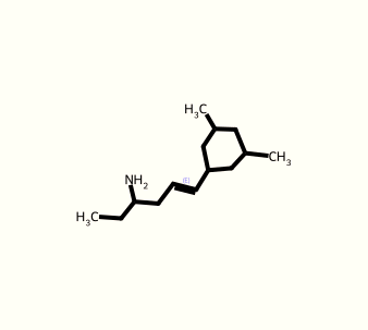 CCC(N)C/C=C/C1CC(C)CC(C)C1